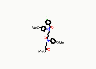 COC(=O)CCCN(C(=O)CCCN(C(=O)c1ccc(Cl)cc1)c1ccc(OC)cc1)c1ccc(OC)cc1